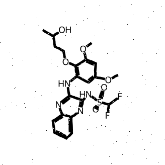 COc1cc(Nc2nc3ccccc3nc2NS(=O)(=O)C(F)F)c(OCCC(C)O)c(OC)c1